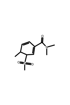 CC1C=CC(C(=O)N(C)C)=CC1S(C)(=O)=O